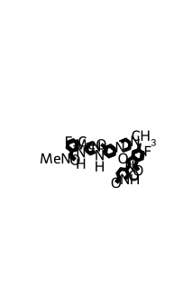 CNC(=O)c1ccccc1Nc1cc(Nc2ccc(N3CCC(N(C)Cc4cc5c(cc4F)C(=O)N(C4CCC(=O)NC4=O)C5=O)CC3)cc2OC)ncc1C(F)(F)F